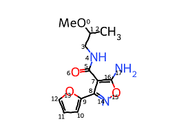 COC(C)CNC(=O)c1c(-c2ccco2)noc1N